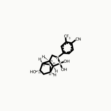 N#Cc1ccc(N2C[C@@H]3[C@H]4O[C@H](C[C@@H]4O)[C@@H]3S2(O)O)cc1C(F)(F)F